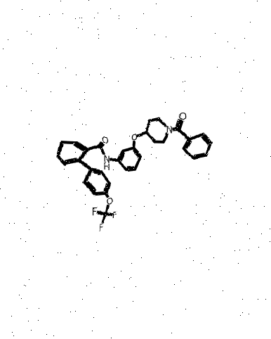 O=C(Nc1cccc(OC2CCN(C(=O)c3ccccc3)CC2)c1)c1ccccc1-c1ccc(OC(F)(F)F)cc1